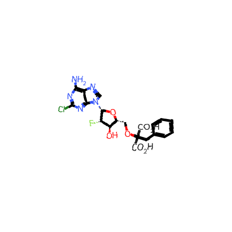 Nc1nc(Cl)nc2c1ncn2[C@@H]1O[C@H](COC(Cc2ccccc2)(C(=O)O)C(=O)O)[C@@H](O)[C@@H]1F